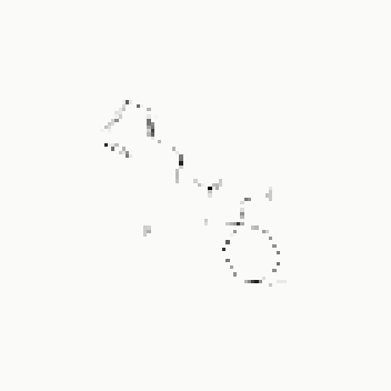 Cl.O=C(NCc1ccccc1)OC1(CF)CCNCC1